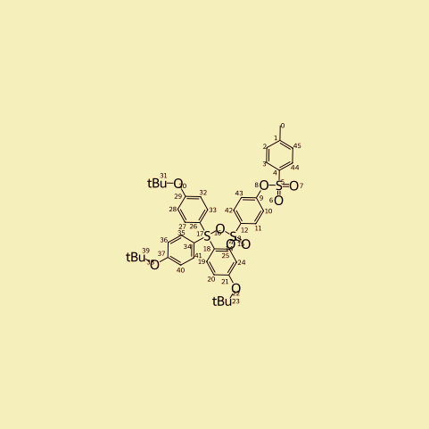 Cc1ccc(S(=O)(=O)Oc2ccc(S(=O)(=O)OS(c3ccc(OC(C)(C)C)cc3)(c3ccc(OC(C)(C)C)cc3)c3ccc(OC(C)(C)C)cc3)cc2)cc1